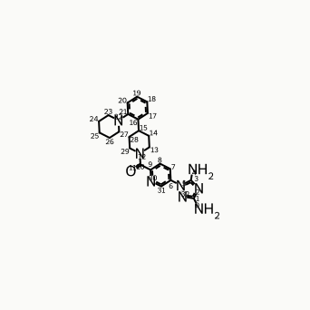 Nc1nc(N)n(-c2ccc(C(=O)N3CCC(c4ccccc4N4CCCCC4)CC3)nc2)n1